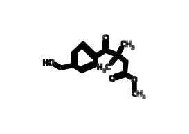 COC(=O)CC(C)(C)C(=O)c1ccc(CO)cc1